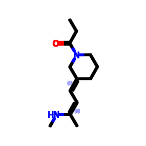 CCC(=O)N1CCC/C(=C\C=C(\C)NC)C1